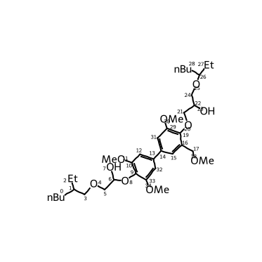 CCCCC(CC)COCC(O)Oc1c(OC)cc(-c2cc(COC)c(OCC(O)COC(CC)CCCC)c(OC)c2)cc1OC